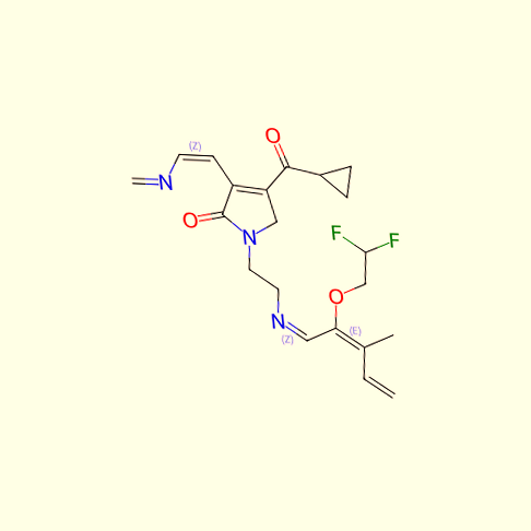 C=C/C(C)=C(\C=N/CCN1CC(C(=O)C2CC2)=C(/C=C\N=C)C1=O)OCC(F)F